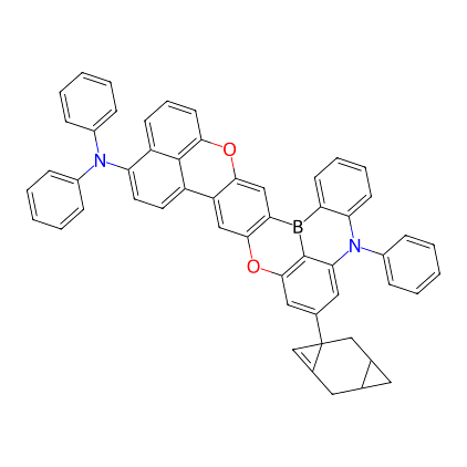 C1=C2CC3CC3CC12c1cc2c3c(c1)N(c1ccccc1)c1ccccc1B3c1cc3c(cc1O2)-c1ccc(N(c2ccccc2)c2ccccc2)c2cccc(c12)O3